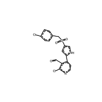 O=Cc1c(-c2cc(S(=O)(=O)Cc3ccc(Cl)cc3)c[nH]2)ccnc1Cl